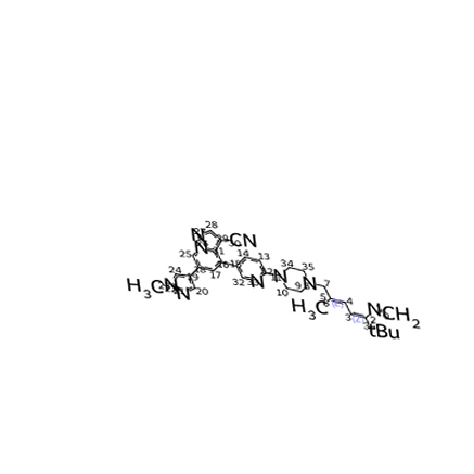 C=N/C(=C\C=C(/C)CN1CCN(c2ccc(-c3cc(-c4cnn(C)c4)cn4ncc(C#N)c34)cn2)CC1)C(C)(C)C